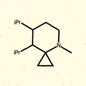 CC(C)C1CCN(C)C2(CC2)C1C(C)C